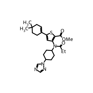 CCC(=O)N(c1cc(C2=CCC(C)(C)CC2)sc1C(=O)OC)C1CCC(n2cncn2)CC1